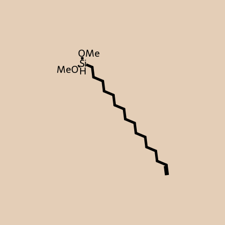 C=CCCCCCCCCCCCCCC[SiH](OC)OC